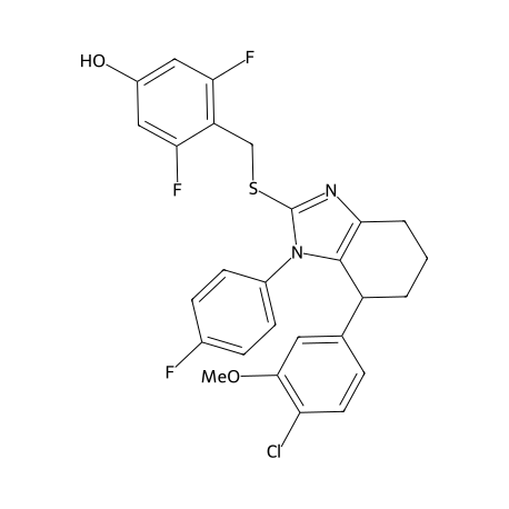 COc1cc(C2CCCc3nc(SCc4c(F)cc(O)cc4F)n(-c4ccc(F)cc4)c32)ccc1Cl